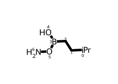 CC(C)CCB(O)ON